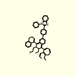 C/C=C\C1=C(CC)CC=CC=C1C1=c2ccc(-c3ccc(-c4nc5ccccc5n4-c4ccccc4)cc3)cc2=C(C2=CCCc3ccccc32)C(CCI)C1CC